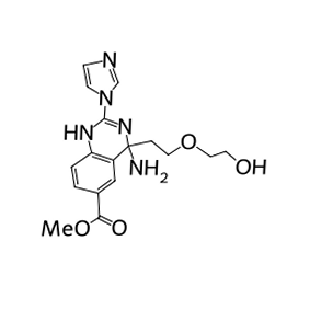 COC(=O)c1ccc2c(c1)C(N)(CCOCCO)N=C(n1ccnc1)N2